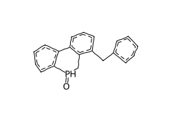 O=[PH]1Cc2c(Cc3ccccc3)cccc2-c2ccccc21